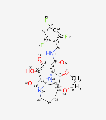 CO[C@@H]1c2c(C(=O)NCc3c(F)cc(F)cc3F)c(=O)c(O)c3n2[C@@]2(CCCCN(C2)C3=O)[C@H]1OC